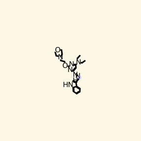 CCN(CC)c1cc(N/N=C\c2c[nH]c3ccccc23)nc(OCCN2CCOCC2)n1